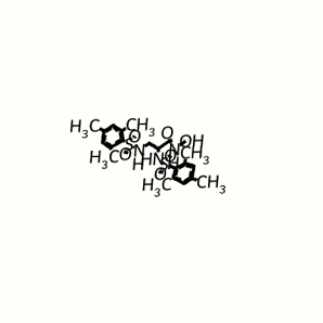 Cc1cc(C)c(S(=O)(=O)NCC(NS(=O)(=O)c2c(C)cc(C)cc2C)C(=O)NO)c(C)c1